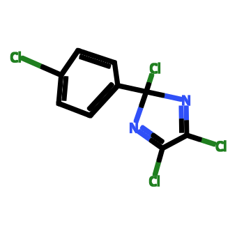 ClC1=NC(Cl)(c2ccc(Cl)cc2)N=C1Cl